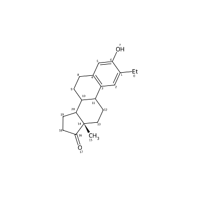 CCc1cc2c(cc1O)CCC1C2CC[C@]2(C)C(=O)CCC12